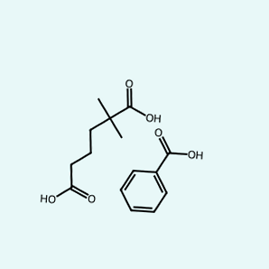 CC(C)(CCCC(=O)O)C(=O)O.O=C(O)c1ccccc1